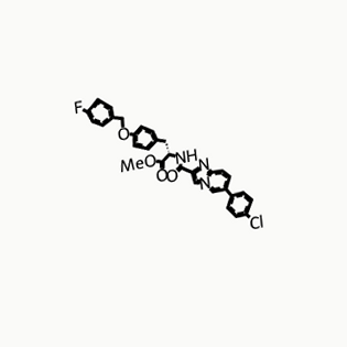 COC(=O)[C@H](Cc1ccc(OCc2ccc(F)cc2)cc1)NC(=O)c1cn2cc(-c3ccc(Cl)cc3)ccc2n1